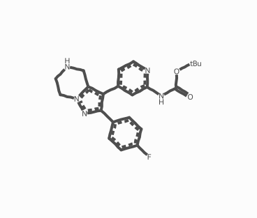 CC(C)(C)OC(=O)Nc1cc(-c2c(-c3ccc(F)cc3)nn3c2CNCC3)ccn1